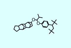 CC(C)C(Oc1ccc(C(CC(C)(C)C)C(C)(C)C)cc1)OC1CC2CC1C1C3CC(C4CCCC43)C21